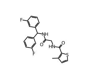 Cc1ccsc1C(=O)NCC(=O)NC(c1cccc(F)c1)c1cccc(F)c1